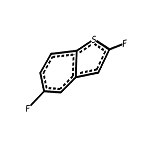 Fc1ccc2sc(F)cc2c1